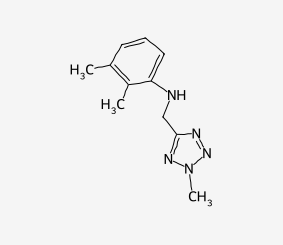 Cc1cccc(NCc2nnn(C)n2)c1C